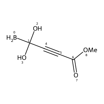 BC(O)(O)C#CC(=O)OC